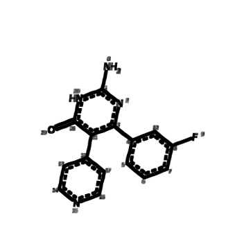 Nc1nc(-c2cccc(F)c2)c(-c2ccncc2)c(=O)[nH]1